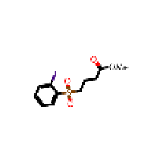 COC(=O)CCCS(=O)(=O)c1ccccc1I